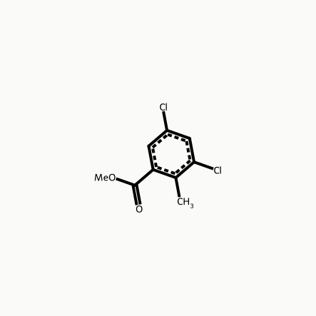 COC(=O)c1cc(Cl)cc(Cl)c1C